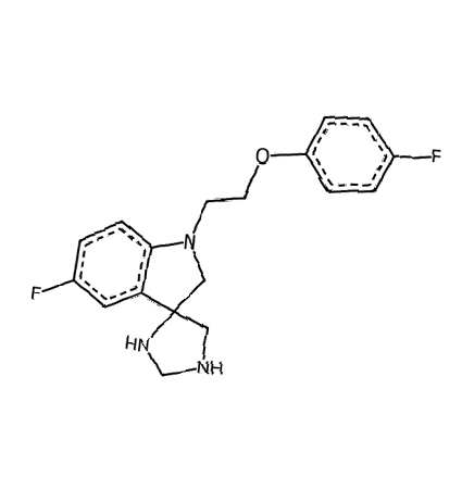 Fc1ccc(OCCN2CC3(CNCN3)c3cc(F)ccc32)cc1